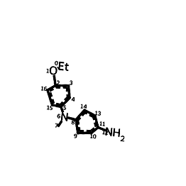 CCOc1ccc(N(C)c2ccc(N)cc2)cc1